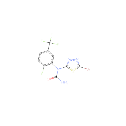 NC(=O)N(c1nnc(Br)s1)c1cc(C(F)(F)F)ccc1F